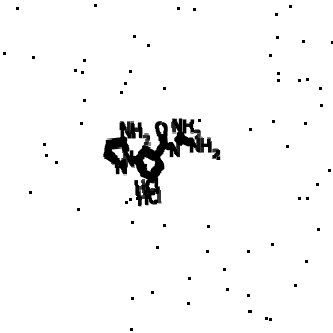 Cl.Cl.NC(N)=NC(=O)c1cccc(-n2nccc2N)c1